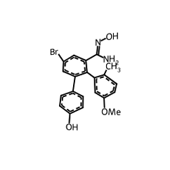 COc1ccc(C)c(-c2c(/C(N)=N/O)cc(Br)cc2-c2ccc(O)cc2)c1